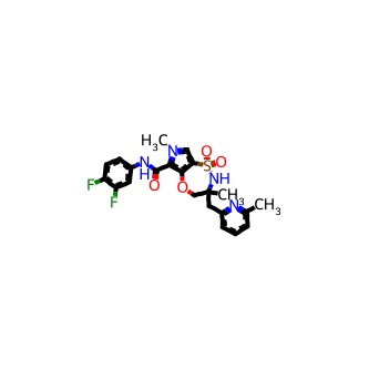 Cc1cccc(CC2(C)COc3c(cn(C)c3C(=O)Nc3ccc(F)c(F)c3)S(=O)(=O)N2)n1